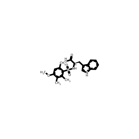 COc1cc(C)c(S(=O)(=O)N[C@H](Cc2c[nH]c3ccccc23)C(=O)O)c(C)c1C